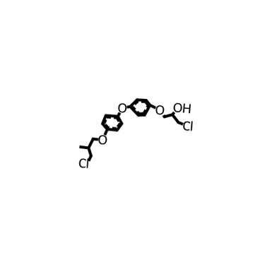 CC(CCl)COc1ccc(Oc2ccc(OCC(O)CCl)cc2)cc1